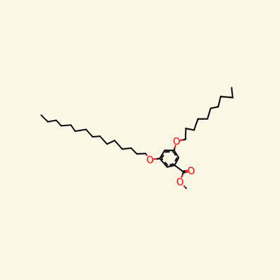 CCCCCCCCCCCCCCCOc1cc(OCCCCCCCCCC)cc(C(=O)OC)c1